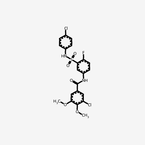 COc1cc(C(=O)Nc2ccc(F)c(S(=O)(=O)Nc3ccc(Cl)cc3)c2)cc(Cl)c1OC